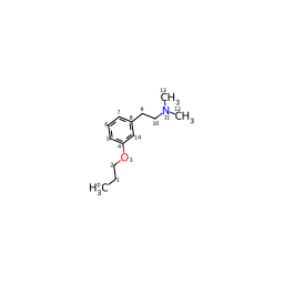 CCCOc1cccc(CCN(C)C)c1